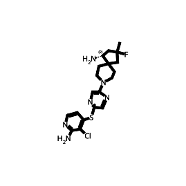 CC1(F)C[C@@H](N)C2(CCN(c3cnc(Sc4ccnc(N)c4Cl)cn3)CC2)C1